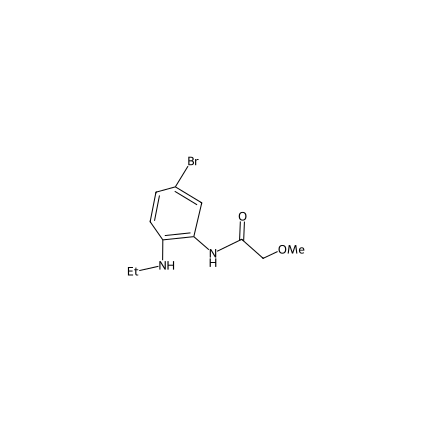 CCNc1ccc(Br)cc1NC(=O)COC